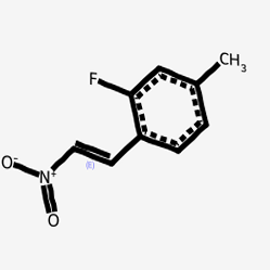 Cc1ccc(/C=C/[N+](=O)[O-])c(F)c1